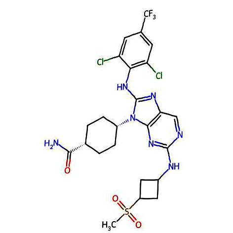 CS(=O)(=O)C1CC(Nc2ncc3nc(Nc4c(Cl)cc(C(F)(F)F)cc4Cl)n([C@H]4CC[C@@H](C(N)=O)CC4)c3n2)C1